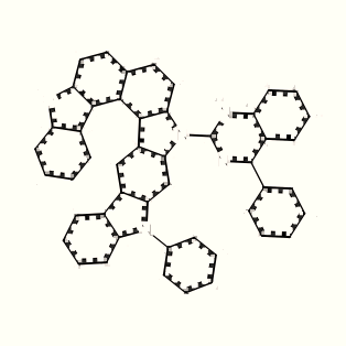 c1ccc(-c2nc(-n3c4cc5c(cc4c4c6c(ccc7oc8ccccc8c76)ccc43)c3ccccc3n5-c3ccccc3)nc3ccccc23)cc1